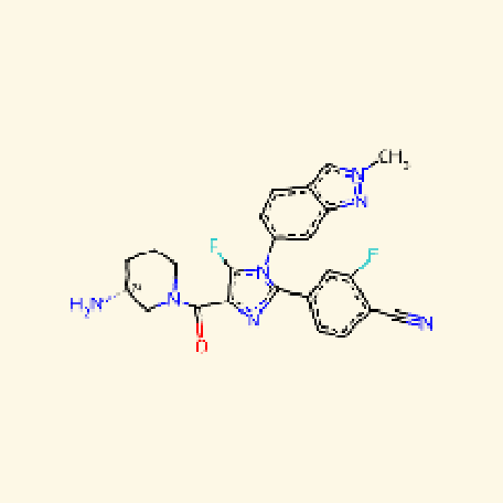 Cn1cc2ccc(-n3c(-c4ccc(C#N)c(F)c4)nc(C(=O)N4CCC[C@@H](N)C4)c3F)cc2n1